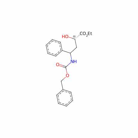 CCOC(=O)[C@@H](O)CC(NC(=O)OCc1ccccc1)c1ccccc1